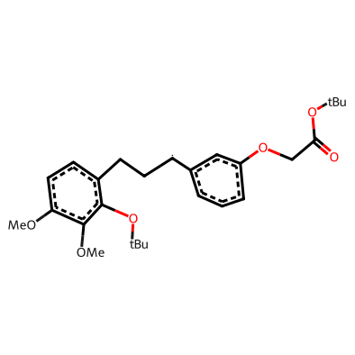 COc1ccc(CC[CH]c2cccc(OCC(=O)OC(C)(C)C)c2)c(OC(C)(C)C)c1OC